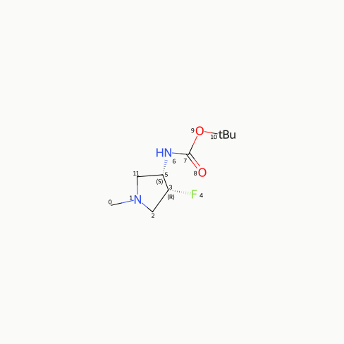 CN1C[C@@H](F)[C@@H](NC(=O)OC(C)(C)C)C1